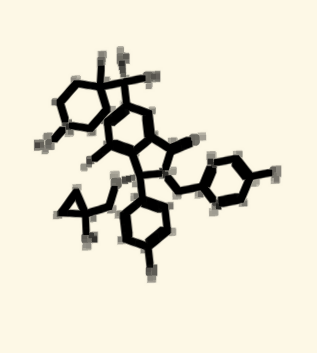 CC[C@](O)(c1cc(F)c2c(c1)C(=O)N(Cc1ncc(Cl)cn1)[C@@]2(OCC1(C#N)CC1)c1ccc(Cl)cc1)C1(F)CCN(C)CC1